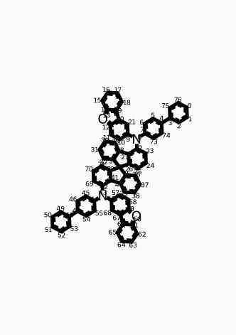 c1ccc(-c2ccc(N(c3ccc4oc5ccccc5c4c3)c3cccc4c3-c3ccccc3C43c4ccccc4-c4c(N(c5ccc(-c6ccccc6)cc5)c5ccc6oc7ccccc7c6c5)cccc43)cc2)cc1